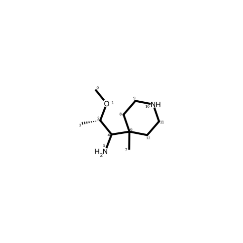 CO[C@@H](C)C(N)C1(C)CCNCC1